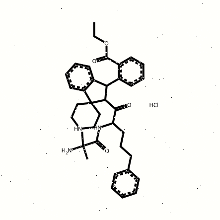 CCOC(=O)c1ccccc1C1c2ccccc2C2(CCNCC2)C1C(=O)C(CCCc1ccccc1)NC(=O)C(C)(C)N.Cl